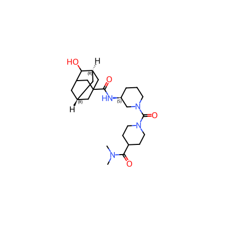 CN(C)C(=O)C1CCN(C(=O)N2CCC[C@H](NC(=O)C34CC5C[C@H](C[C@H](C3)C5O)C4)C2)CC1